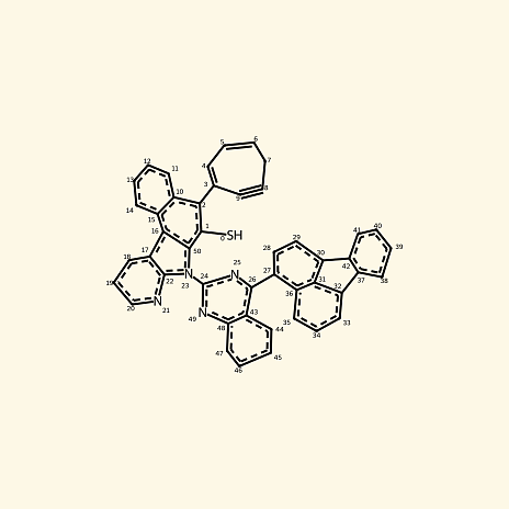 Sc1c(C2=CC=CCC#C2)c2ccccc2c2c3cccnc3n(-c3nc(-c4ccc5c6c(cccc46)-c4ccccc4-5)c4ccccc4n3)c12